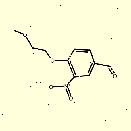 COCCOc1ccc(C=O)cc1[N+](=O)[O-]